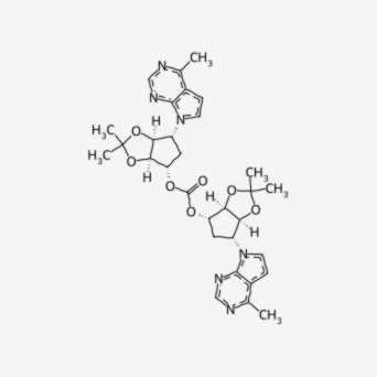 Cc1ncnc2c1ccn2[C@@H]1C[C@H](OC(=O)O[C@H]2C[C@@H](n3ccc4c(C)ncnc43)[C@@H]3OC(C)(C)O[C@@H]32)[C@H]2OC(C)(C)O[C@H]21